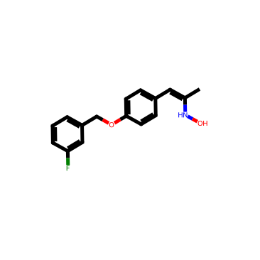 CC(=Cc1ccc(OCc2cccc(F)c2)cc1)NO